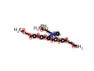 C=CC(=O)OCCCCOC(=O)C1CCC(C(=O)OC2CCC(C(=O)Oc3ccc(OC(=O)C4CCC(OC(=O)C5CCC(C(=O)OCCCCOC(=O)C=C)CC5)CC4)c(/C=N/N(CCCCCCOC(=O)C(=C)C)c4nc5ccccc5s4)c3)CC2)CC1